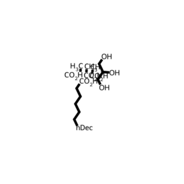 CC(=O)O.CC(=O)O.CC(=O)O.CCCCCCCCCCCCCCCC(=O)O.OCC(O)CO